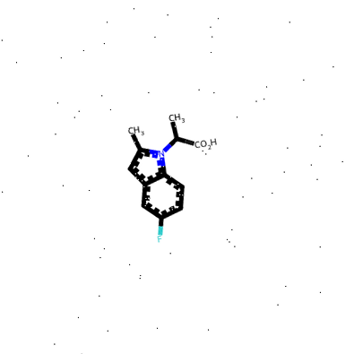 Cc1cc2cc(F)ccc2n1C(C)C(=O)O